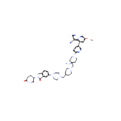 CCOc1cc(-c2ccc(N3CCC(CN4CCC(CN5CCN(c6ccc7c(c6)C(=O)N(C6CCC(=O)NC6=O)C7)CC5)CC4)(NC)CC3)nc2)c2c(C#N)cnn2c1